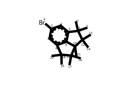 CC1(C)c2cc(Br)cc3c2C(C)(C1(C)C)C(C)(C)C3(C)C